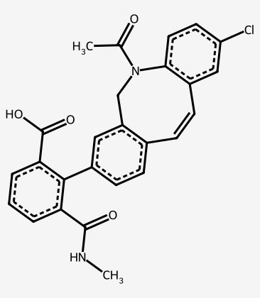 CNC(=O)c1cccc(C(=O)O)c1-c1ccc2c(c1)CN(C(C)=O)c1ccc(Cl)cc1C=C2